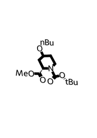 CCCCOC1CCN(C(=O)OC(C)(C)C)[C@H](C(=O)OC)C1